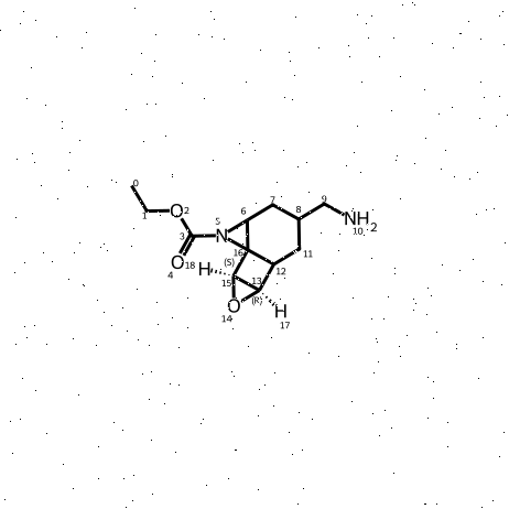 CCOC(=O)N1C2CC(CN)CC3[C@H]4O[C@H]4C321